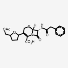 CC(=O)OCC1CCC(C2=C(C(=O)O)N3C(=O)[C@@H](NC(=O)Cc4ccccc4)[C@H]3SC2)O1